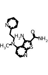 CN(CCc1ccccn1)c1ccnc2sc(C(N)=O)c(N)c12